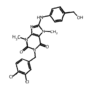 Cn1c(Nc2ccc(CO)cc2)nc2c1c(=O)n(Cc1ccc(Cl)c(Cl)c1)c(=O)n2C